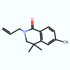 C=CCN1CC(C)(C)c2cc(C#N)ccc2C1=O